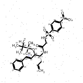 C=CC[C@@H](NC(=O)CNS(=O)(=O)c1ccc([N+](=O)[O-])cc1)[C@@H](/C=C/c1ccccc1)O[Si](C)(C)C(C)(C)C